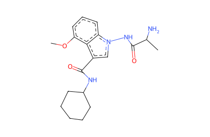 COc1cccc2c1c(C(=O)NC1CCCCC1)cn2NC(=O)C(C)N